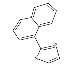 c1ccc2c(-c3pccs3)cccc2c1